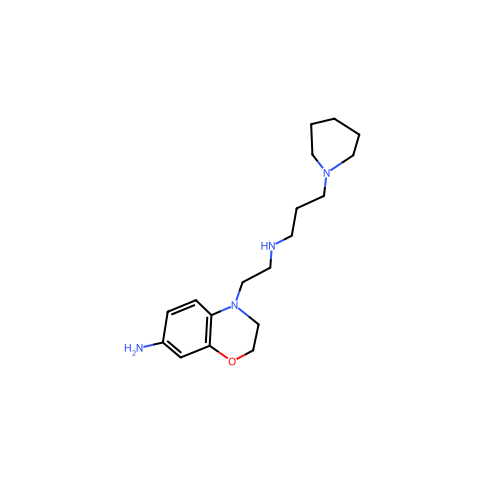 Nc1ccc2c(c1)OCCN2CCNCCCN1CCCCC1